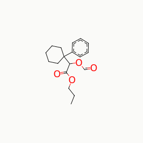 CCCOC(=O)C(OC=O)C1(c2ccccc2)CCCCC1